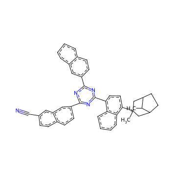 CC1C2CCC1CC(C)(c1ccc(-c3nc(-c4ccc5ccccc5c4)nc(-c4ccc5ccc(C#N)cc5c4)n3)c3ccccc13)C2